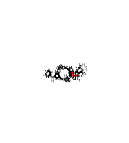 CC(C)(C)[Si](C)(C)O[C@H]1[C@H]2O[P@@](=O)(S)OC[C@H]3C[C@@H](Nc4ccncn4)C[C@@H]3OP(=O)(O)OC[C@H]1O[C@H]2n1cnc2c(=O)[nH]c(N)nc21